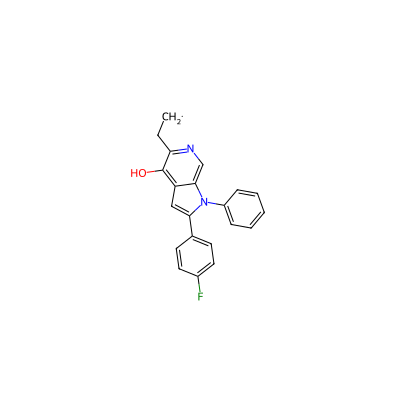 [CH2]Cc1ncc2c(cc(-c3ccc(F)cc3)n2-c2ccccc2)c1O